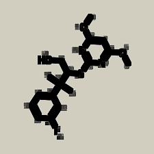 COc1cc(OC)nc(SC(CO)C(C)(C)c2cccc(F)c2)n1